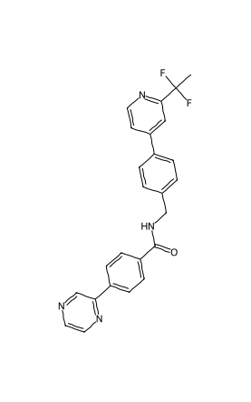 CC(F)(F)c1cc(-c2ccc(CNC(=O)c3ccc(-c4cnccn4)cc3)cc2)ccn1